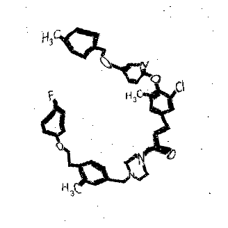 Cc1ccc(COc2ccc(Oc3c(C)cc(C=CC(=O)N4CCN(Cc5ccc(CCOc6ccc(F)cc6)c(C)c5)CC4)cc3Cl)nc2)cc1